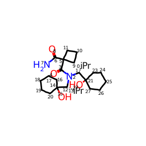 CC(C)[C@@H](N(C(=O)C1(C(N)=O)CCC1)[C@H](C(C)C)C1(O)CCCCC1)C1(O)CCCCC1